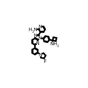 Nc1ncccc1-c1nc2ccc(-c3cccc(N4CC[C@H](F)C4)c3)nc2n1-c1ccc(C2(N)CCC2)cc1